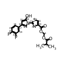 CC(C)C(=O)OCOC(=O)c1csc(-n2nc(-c3ccc(F)c(F)c3)cc2O)n1